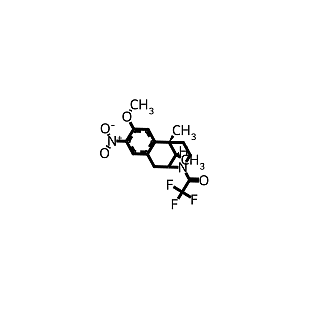 COc1cc2c(cc1[N+](=O)[O-])CC1[C@@H](C)[C@@]2(C)CCN1C(=O)C(F)(F)F